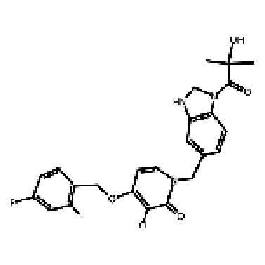 CC(C)(O)C(=O)N1CNc2cc(Cn3ccc(OCc4ccc(F)cc4F)c(Cl)c3=O)ccc21